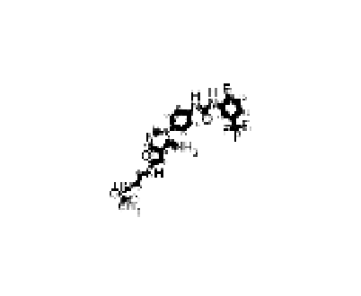 CS(=O)(=O)NCCNc1cc2c(o1)N=CN(c1ccc(NC(=O)Nc3cc(C(F)(F)F)ccc3F)cc1)C2N